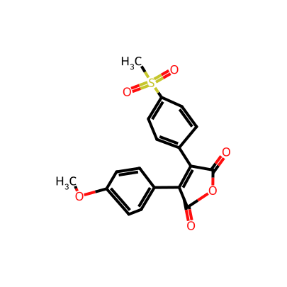 COc1ccc(C2=C(c3ccc(S(C)(=O)=O)cc3)C(=O)OC2=O)cc1